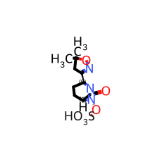 CC1(C)CC([C@@H]2CC[C@H]3CN2C(=O)N3OS(=O)(=O)O)=NO1